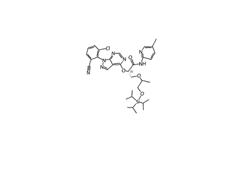 Cc1ccc(NC(=O)[C@H](COC(C)CO[Si](C(C)C)(C(C)C)C(C)C)Oc2ncnc3c2cnn3-c2c(Cl)cccc2C#N)nc1